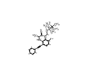 CC1Nc2c(C#Cc3ccccc3)ccc(F)c2N(CO[Si](C)(C)C(C)(C)C)C1=O